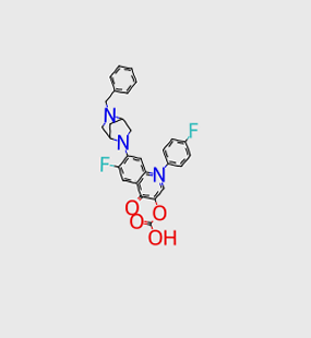 O=C(O)Oc1cn(-c2ccc(F)cc2)c2cc(N3CC4CC3CN4Cc3ccccc3)c(F)cc2c1=O